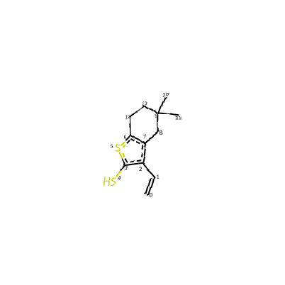 C=Cc1c(S)sc2c1CC(C)(C)CC2